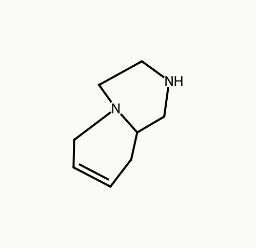 C1=CCN2CCNCC2C1